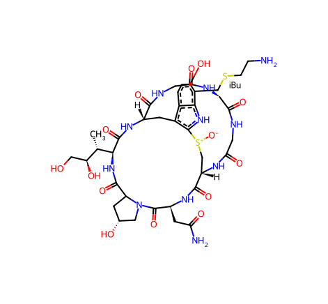 CC[C@H](C)[C@@H]1NC(=O)CNC(=O)[C@@H]2Cc3c([nH]c4c(CSCCN)c(O)ccc34)[S+]([O-])C[C@H](NC(=O)CNC1=O)C(=O)N[C@@H](CC(N)=O)C(=O)N1C[C@H](O)CC1C(=O)N[C@@H]([C@@H](C)[C@@H](O)CO)C(=O)N2